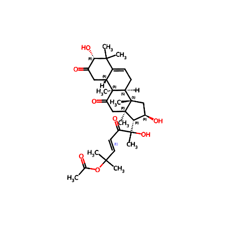 CC(=O)OC(C)(C)/C=C/C(=O)C(C)(O)[C@H]1[C@H](O)C[C@@]2(C)[C@@H]3CC=C4[C@@H](CC(=O)[C@H](O)C4(C)C)[C@]3(C)C(=O)C[C@]12C